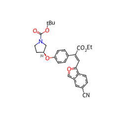 CCOC(=O)C(=Cc1occ2cc(C#N)ccc12)c1ccc(O[C@H]2CCN(C(=O)OC(C)(C)C)C2)cc1